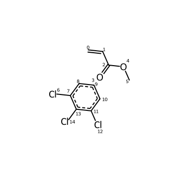 C=CC(=O)OC.Clc1cccc(Cl)c1Cl